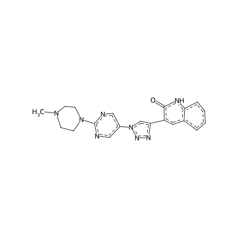 CN1CCN(c2ncc(-n3cc(-c4cc5ccccc5[nH]c4=O)nn3)cn2)CC1